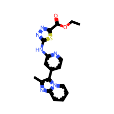 CCOC(=O)c1nnc(Nc2cc(-c3c(C)nc4ccccn34)ccn2)s1